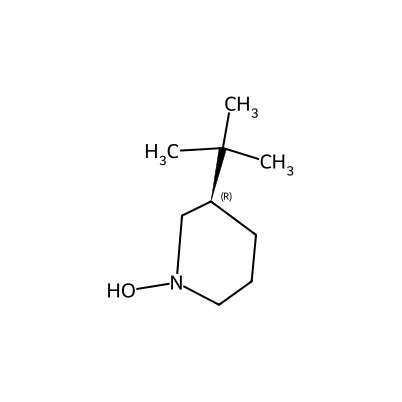 CC(C)(C)[C@H]1CCCN(O)C1